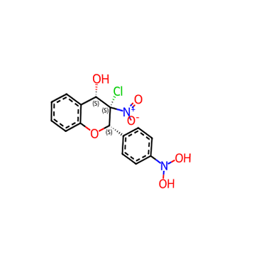 O=[N+]([O-])[C@]1(Cl)[C@@H](O)c2ccccc2O[C@H]1c1ccc(N(O)O)cc1